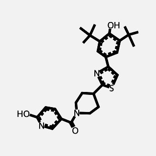 CC(C)(C)c1cc(-c2csc(C3CCN(C(=O)c4ccc(O)nc4)CC3)n2)cc(C(C)(C)C)c1O